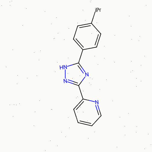 CC(C)c1ccc(-c2nc(-c3ccccn3)n[nH]2)cc1